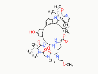 CCn1c(-c2cccnc2[C@H](C)OC)c2c3cc(ccc31)-c1cc(O)cc(c1)C[C@H](NC(=O)C(C(C)C)N(C)C(=O)CN(C)C(=O)[C@@H]1CN1CCOC)C(=O)N1CCC[C@H](N1)C(=O)OCC(C)(C)C2